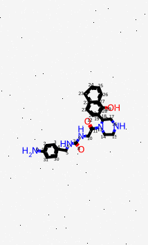 Nc1ccc(CNC(=O)NCC(=O)N2CCNCC2c2ccc3ccccc3c2O)cc1